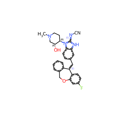 CN1CC[C@@H](n2/c(=N/C#N)[nH]c3cc(/C=C4\c5ccccc5COc5cc(F)ccc54)ccc32)[C@H](O)C1